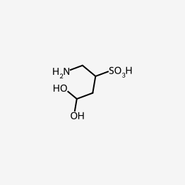 NCC(CC(O)O)S(=O)(=O)O